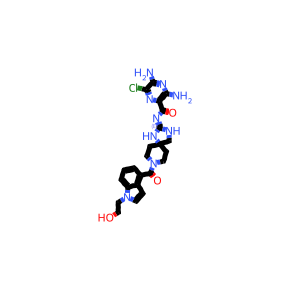 Nc1nc(N)c(C(=O)/N=C2\NCC3(CCN(C(=O)c4cccc5c4ccn5CCO)CC3)N2)nc1Cl